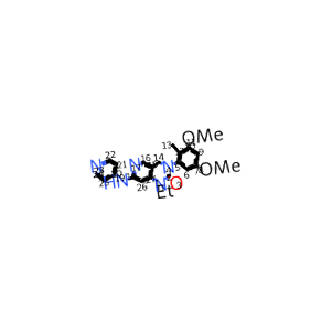 CCN1C(=O)N(c2cc(OC)cc(OC)c2C)Cc2cnc(Nc3ccncc3)cc21